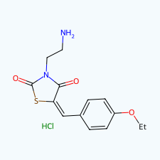 CCOc1ccc(/C=C2/SC(=O)N(CCN)C2=O)cc1.Cl